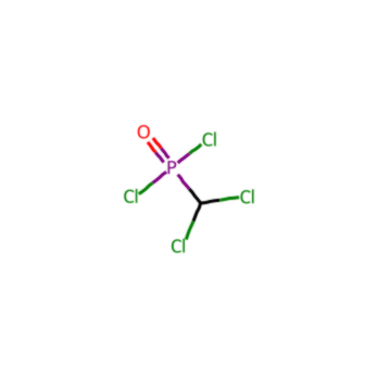 O=P(Cl)(Cl)C(Cl)Cl